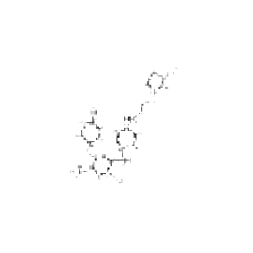 C[n+]1ccn(CCCNc2ccc(Nc3cc(Nc4ccc(N)cc4)c(N)cc3O)cc2)c1